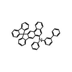 c1ccc(-c2cccc(N(c3ccccc3)c3cc4ccccc4c4cc5c(cc34)-c3ccccc3C53c4ccccc4-c4ccccc43)c2)cc1